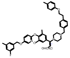 Cc1ccc(OCCc2ccc(CN3CCN(/C(=C/C=O)c4cc(C)c(Oc5ccc(OCc6cc(C)cc(F)c6)cn5)c(Cl)c4)CC3)cc2)cc1.Cl